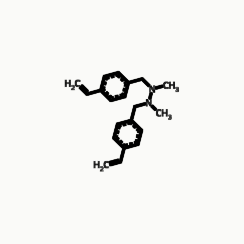 C=Cc1ccc(CN(C)N(C)Cc2ccc(C=C)cc2)cc1